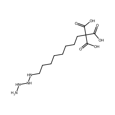 NNNNCCCCCCCCC(C(=O)O)(C(=O)O)C(=O)O